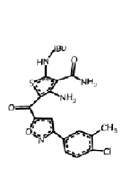 CCC(C)Nc1sc(C(=O)c2cc(-c3ccc(Cl)c(C)c3)no2)c(N)c1C(N)=O